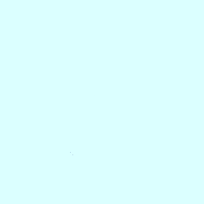 CC(C)=CCCC1=CCC(C#N)=C(C)C1